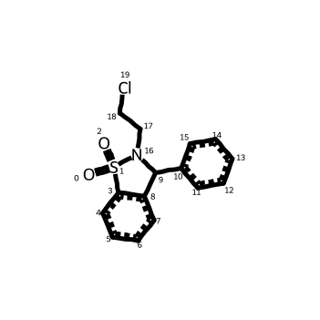 O=S1(=O)c2ccccc2C(c2ccccc2)N1CCCl